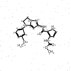 COC(=O)Nc1cc[nH]c1C(=O)Nc1cc2n(n1)CCN2c1cccc(OC)c1